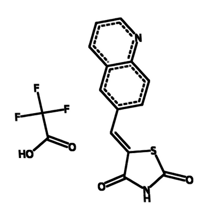 O=C(O)C(F)(F)F.O=C1NC(=O)/C(=C/c2ccc3ncccc3c2)S1